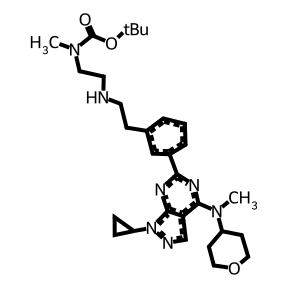 CN(CCNCCc1cccc(-c2nc(N(C)C3CCOCC3)c3cnn(C4CC4)c3n2)c1)C(=O)OC(C)(C)C